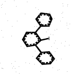 Ic1c(-c2ccccc2)cccc1-c1ccccc1